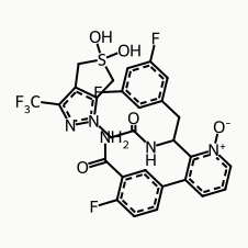 NC(=O)c1cc(-c2ccc[n+]([O-])c2C(Cc2cc(F)cc(F)c2)NC(=O)Cn2nc(C(F)(F)F)c3c2CS(O)(O)C3)ccc1F